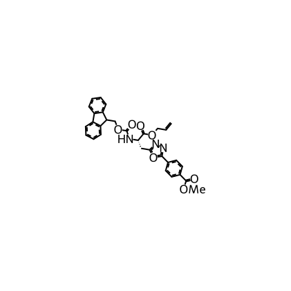 C=CCOC(=O)[C@H](Cc1nnc(-c2ccc(C(=O)OC)cc2)o1)NC(=O)OCC1c2ccccc2-c2ccccc21